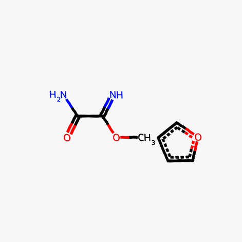 COC(=N)C(N)=O.c1ccoc1